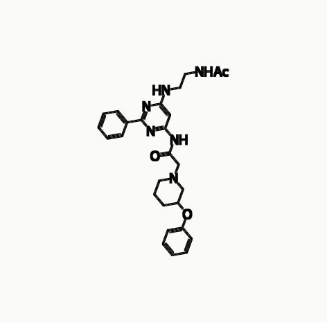 CC(=O)NCCNc1cc(NC(=O)CN2CCCC(Oc3ccccc3)C2)nc(-c2ccccc2)n1